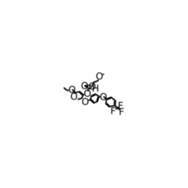 CCOC(=O)C=C(O[PH](=O)OCCOC)C(C)Oc1ccc(Oc2ccc(C(F)(F)F)cc2)cc1